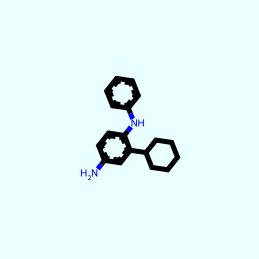 Nc1ccc(Nc2ccccc2)c(C2CCCCC2)c1